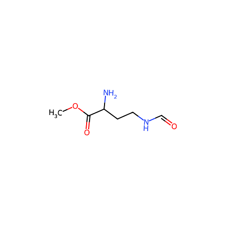 COC(=O)C(N)CCNC=O